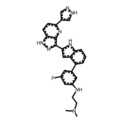 CN(C)CCNc1cc(F)cc(-c2cccc3[nH]c(-c4n[nH]c5ccc(-c6cn[nH]c6)nc45)cc23)c1